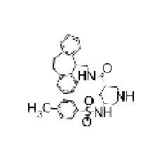 Cc1ccc(S(=O)(=O)N[C@H]2CNC[C@@H](C(=O)NCC3c4ccccc4CCc4ccccc43)C2)cc1